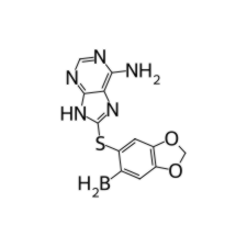 Bc1cc2c(cc1Sc1nc3c(N)ncnc3[nH]1)OCO2